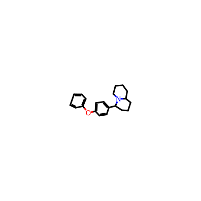 c1ccc(Oc2ccc(C3CCCC4CCCCN43)cc2)cc1